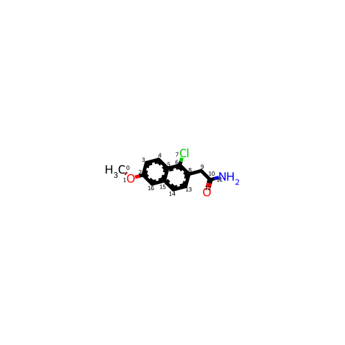 COc1ccc2c(Cl)c(CC(N)=O)ccc2c1